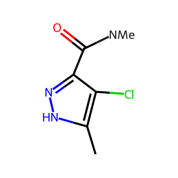 CNC(=O)c1n[nH]c(C)c1Cl